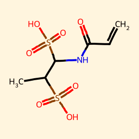 C=CC(=O)NC(C(C)S(=O)(=O)O)S(=O)(=O)O